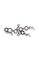 CN1CCN(C2CCN(C3(CC=O)CC(N4CCc5ccccc5NC4=O)CC[N@+]3(Cc3ccc(N)cc3)C(=O)[O-])CC2)CC1